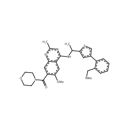 CNCc1ccccc1-c1csc(C(C)Nc2nc(C)nc3cc(C(=O)N4CCOCC4)c(OC)cc23)c1